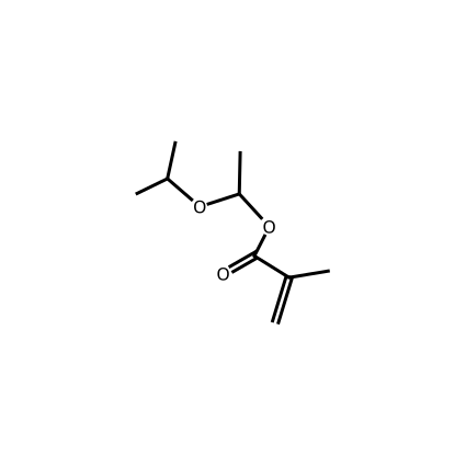 C=C(C)C(=O)OC(C)OC(C)C